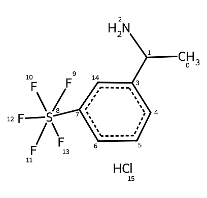 CC(N)c1cccc(S(F)(F)(F)(F)F)c1.Cl